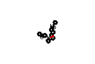 c1ccc(-c2nc3ccc4c5cc(N(c6ccc7c(c6)oc6ccccc67)c6ccccc6-c6ccccc6)ccc5ccc4c3o2)cc1